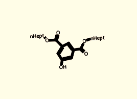 CCCCCCCOC(=O)c1cc(O)cc(C(=O)OCCCCCCC)c1